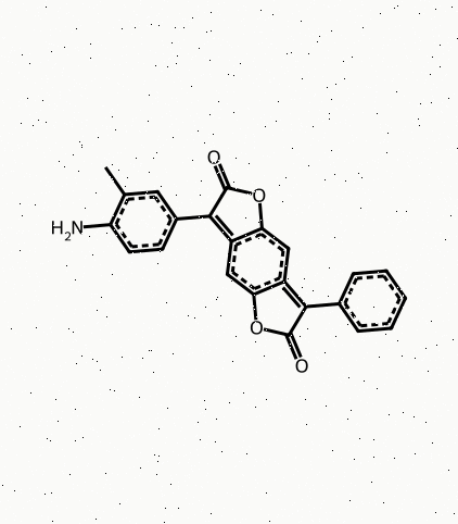 Cc1cc(C2=c3cc4c(cc3OC2=O)=C(c2ccccc2)C(=O)O4)ccc1N